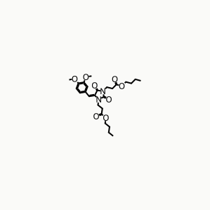 CCCCOC(=O)CCN1C(=O)C(=Cc2ccc(OC)c(OC)c2)N(CCC(=O)OCCCC)C1=O